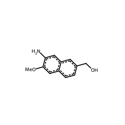 COc1cc2ccc(CO)cc2cc1N